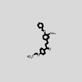 COc1cc(/C=C/C(=O)c2ccc(OCC(=O)O)cc2)ccc1OCc1ccccc1